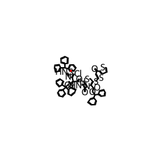 O=C(NC1C(=O)N2C(C(=O)OC(c3ccccc3)c3ccccc3)=C(Sc3cc(=O)c4sccc4s3)CS[C@@H]12)C(=NOC(c1ccccc1)(c1ccccc1)c1ccccc1)c1nc(NC(c2ccccc2)(c2ccccc2)c2ccccc2)sc1Cl